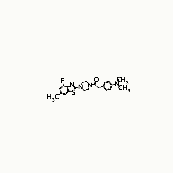 Cc1cc(F)c2nc(N3CCN(C(=O)Cc4ccc(N(C)C)cc4)CC3)sc2c1